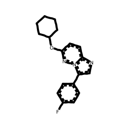 Fc1ccc(-c2cnc3ccc(OC4CCCCC4)nn23)cc1